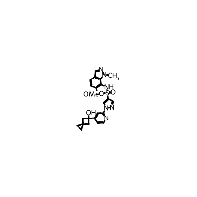 COc1ccc2cnn(C)c2c1NS(=O)(=O)c1cnn(-c2cc(C3(O)CC4(CC4)C3)ccn2)c1